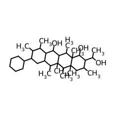 CC(O)C1C(C)CC2(C)C(C)C3(C)C(C)C4CC(C5CCCCC5)C(C)C(C)C4C(O)C3C(C)C2(C)C1O